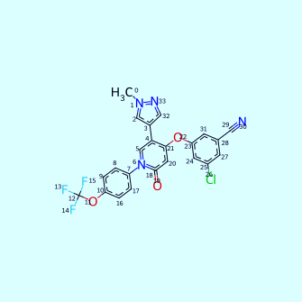 Cn1cc(-c2cn(-c3ccc(OC(F)(F)F)cc3)c(=O)cc2Oc2cc(Cl)cc(C#N)c2)cn1